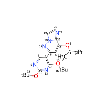 CC(C)C(C)Oc1cc(-c2cnc(OC(C)(C)C)nc2OC(C)(C)C)nn2ccnc12